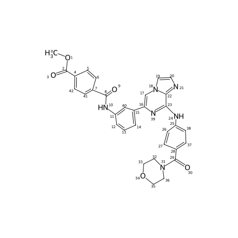 COC(=O)c1ccc(C(=O)Nc2cccc(-c3cn4ccnc4c(Nc4ccc(C(=O)N5CCOCC5)cc4)n3)c2)cc1